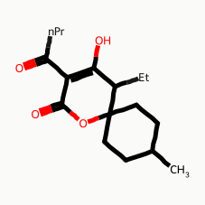 CCCC(=O)C1=C(O)C(CC)C2(CCC(C)CC2)OC1=O